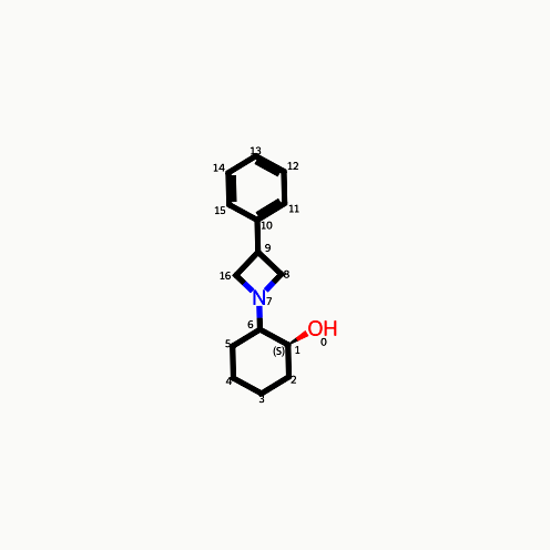 O[C@H]1CCCCC1N1CC(c2ccccc2)C1